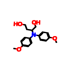 COc1ccc(N(c2ccc(OC)cc2)C(CO)CCO)cc1